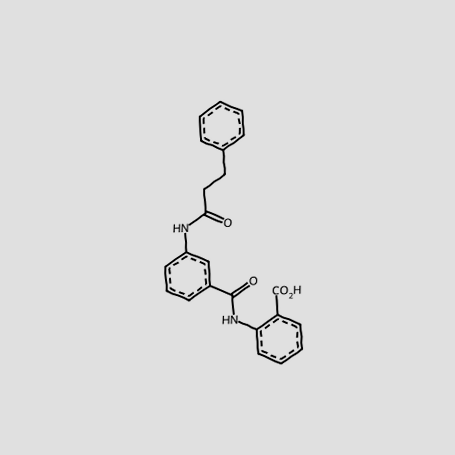 O=C(CCc1ccccc1)Nc1cccc(C(=O)Nc2ccccc2C(=O)O)c1